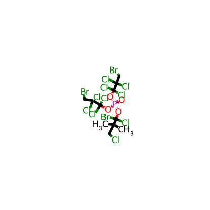 CC(C)(CCl)C(Cl)(Br)OP(=O)(OC(Cl)(Cl)C(Cl)(Cl)CBr)OC(Cl)(Cl)C(Cl)(Cl)CBr